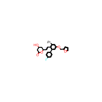 CC(C)c1cc(OCc2ccco2)cc(-c2ccc(F)cc2)c1/C=C/C1CC(O)CC(=O)O1